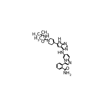 CC(C)(C)NC(=O)N1CC=C(c2cc3c(Nc4ccc5ncc(-c6ccccc6C(N)=O)n5c4)ncnc3[nH]2)CC1